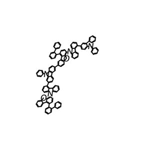 c1ccc(-c2ccccc2-c2ccc(-n3c4ccccc4c4c(-c5ccc6c7cc(-c8ccc9oc%10c(-n%11c%12ccccc%12c%12c(-c%13ccc%14c(c%13)c%13ccccc%13n%14-c%13ccccc%13)cccc%12%11)ccc(-c%11ccccc%11-c%11ccccc%11)c%10c9c8)ccc7n(-c7ccccc7)c6c5)cccc43)c3oc4ccccc4c23)cc1